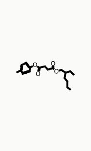 CCCCC(CC)COC(=O)CCC(=O)Oc1ccc(C)cc1